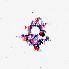 CCN(CC)CCNC(=O)c1c(C)[nH]c(/C=C2\C(=O)N(C(=O)[C@H](CCC(=O)OC(C)(C)C)NC(=O)CCC(=O)N[C@H](C(=O)N[C@@H](CCNC(=O)OC(C)(C)C)C(=O)N[C@@H]3CCNC(=O)[C@@H]([C@H](C)O)NC(=O)[C@H](CCNC(=O)OC(C)(C)C)NC(=O)[C@H](CCNC(=O)OC(C)(C)C)NC(=O)[C@H](CC(C)C)NC(=O)[C@H](Cc4ccccc4)NC(=O)[C@H](CCNC(=O)OC(C)(C)C)NC3=O)[C@H](C)O)c3ccc(F)cc32)c1C